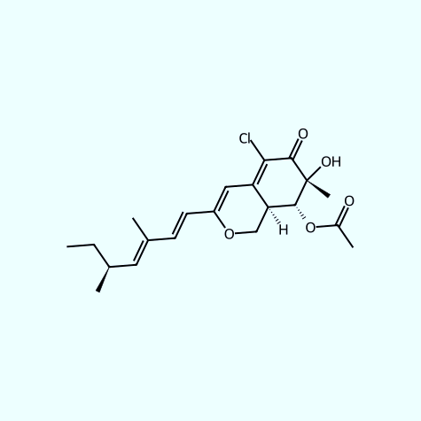 CC[C@H](C)/C=C(C)/C=C/C1=CC2=C(Cl)C(=O)[C@](C)(O)[C@H](OC(C)=O)[C@H]2CO1